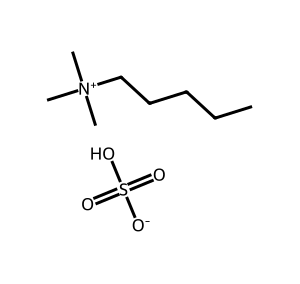 CCCCC[N+](C)(C)C.O=S(=O)([O-])O